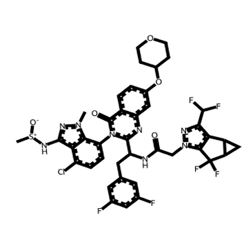 Cn1nc(N[S+](C)[O-])c2c(Cl)ccc(-n3c(C(Cc4cc(F)cc(F)c4)NC(=O)Cn4nc(C(F)F)c5c4C(F)(F)C4CC54)nc4cc(OC5CCOCC5)ccc4c3=O)c21